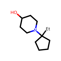 CCC1(N2CCC(O)CC2)CCCC1